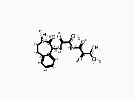 CC(C)C(=O)C(=O)NC(C)C(=O)N[C@@H]1C(=O)N(C)CCc2ccccc21